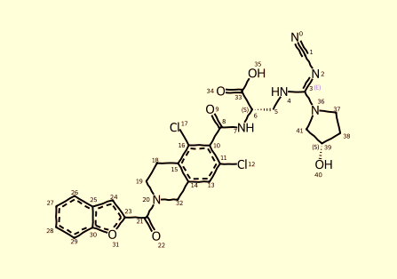 N#C/N=C(\NC[C@H](NC(=O)c1c(Cl)cc2c(c1Cl)CCN(C(=O)c1cc3ccccc3o1)C2)C(=O)O)N1CC[C@H](O)C1